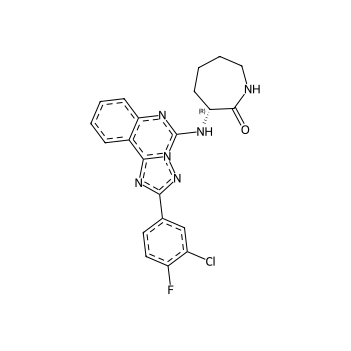 O=C1NCCCC[C@H]1Nc1nc2ccccc2c2nc(-c3ccc(F)c(Cl)c3)nn12